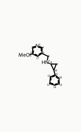 COc1cncc(CN[C@H]2CC2c2ccccc2)c1